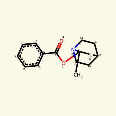 CC1(OC(=O)c2ccccc2)CC2CCN1CC2